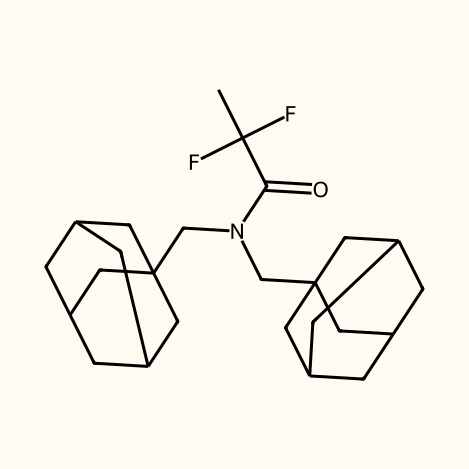 CC(F)(F)C(=O)N(CC12CC3CC(CC(C3)C1)C2)CC12CC3CC(CC(C3)C1)C2